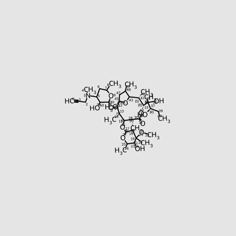 C#CCN(C)C1CC(C)O[C@@H](O[C@@H]2[C@@H](C)[C@H](O[C@H]3CC(C)(OC)[C@@H](O)C(C)O3)[C@@H](C)C(=O)O[C@@H]([C@](C)(O)[C@H](O)CC)[C@@H](C)C3O[C@]2(C)CC3C)C1O